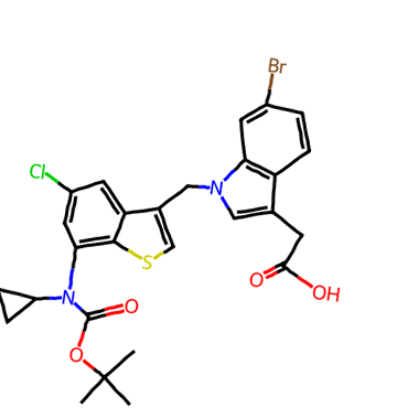 CC(C)(C)OC(=O)N(c1cc(Cl)cc2c(Cn3cc(CC(=O)O)c4ccc(Br)cc43)csc12)C1CC1